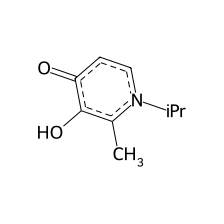 Cc1c(O)c(=O)ccn1C(C)C